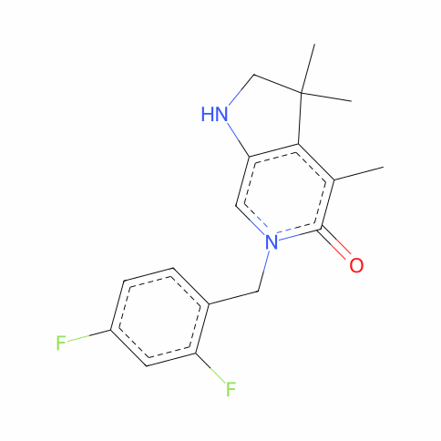 Cc1c2c(cn(Cc3ccc(F)cc3F)c1=O)NCC2(C)C